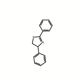 c1ccc(C2=NC(c3ccccc3)CS2)cc1